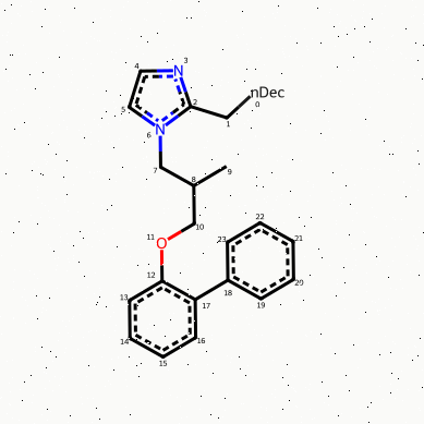 CCCCCCCCCCCc1nccn1CC(C)COc1ccccc1-c1ccccc1